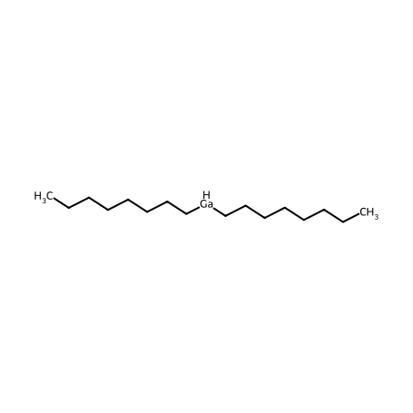 CCCCCCC[CH2][GaH][CH2]CCCCCCC